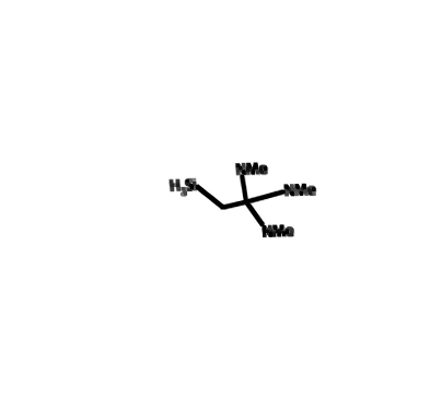 CNC(C[SiH3])(NC)NC